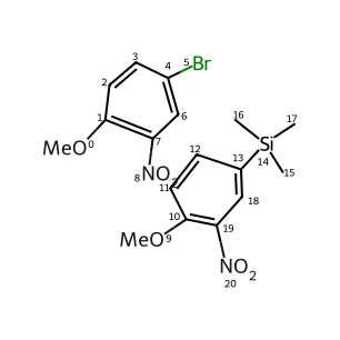 COc1ccc(Br)cc1[N+](=O)[O-].COc1ccc([Si](C)(C)C)cc1[N+](=O)[O-]